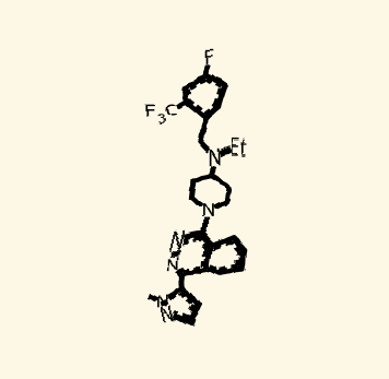 CCN(Cc1ccc(F)cc1C(F)(F)F)C1CCN(c2nnc(-c3ccnn3C)c3ccccc23)CC1